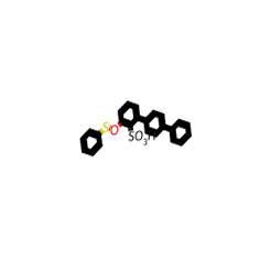 O=S(=O)(O)c1c(OSc2ccccc2)cccc1-c1ccc(-c2ccccc2)cc1